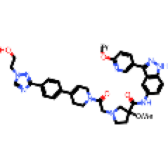 COC1(C(=O)Nc2ccc3[nH]nc(-c4ccc(OC(C)C)nc4)c3c2)CCN(CC(=O)N2CC=C(c3ccc(-c4ncn(CCO)n4)cc3)CC2)C1